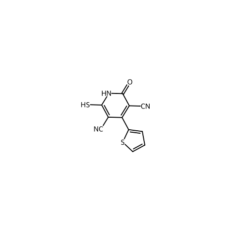 N#Cc1c(S)[nH]c(=O)c(C#N)c1-c1cccs1